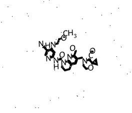 COCCNc1cc(NC(=O)N2CCCc3cc(CN4CCOC5(CC5)C4=C=O)c(C=O)nc32)ncc1C#N